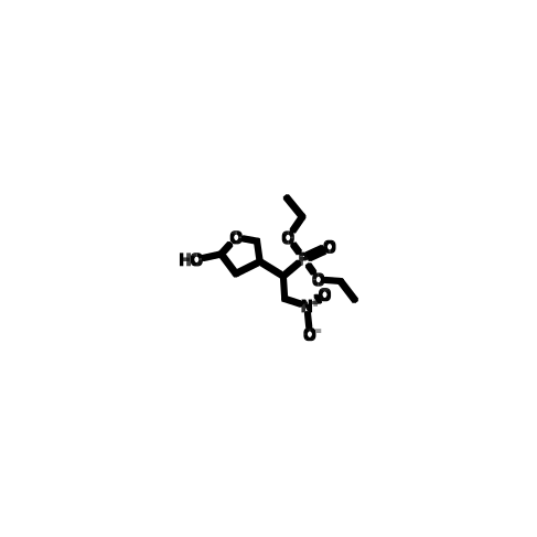 CCOP(=O)(OCC)C(C[N+](=O)[O-])C1COC(O)C1